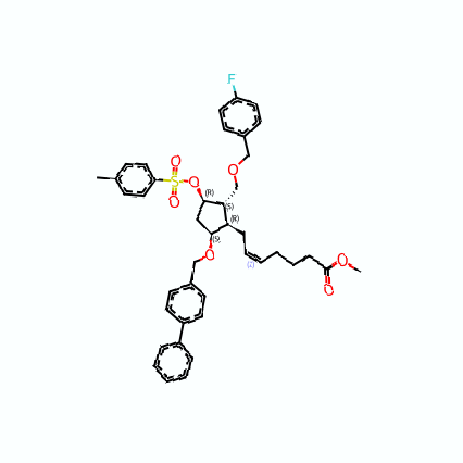 COC(=O)CCC/C=C\C[C@@H]1[C@@H](COCc2ccc(F)cc2)[C@H](OS(=O)(=O)c2ccc(C)cc2)C[C@@H]1OCc1ccc(-c2ccccc2)cc1